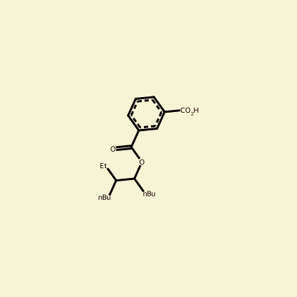 CCCCC(CC)C(CCCC)OC(=O)c1cccc(C(=O)O)c1